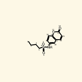 CCCCS(=O)(=O)Nc1ccc2oc(=O)ccc2c1